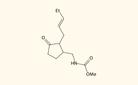 CC/C=C/CC1C(=O)CCC1CNC(=O)OC